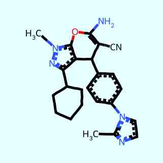 Cc1nccn1-c1ccc(C2C(C#N)=C(N)Oc3c2c(C2CCCCC2)nn3C)cc1